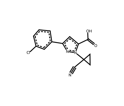 N#CC1(n2nc(-c3cccc(Cl)c3)cc2C(=O)O)CC1